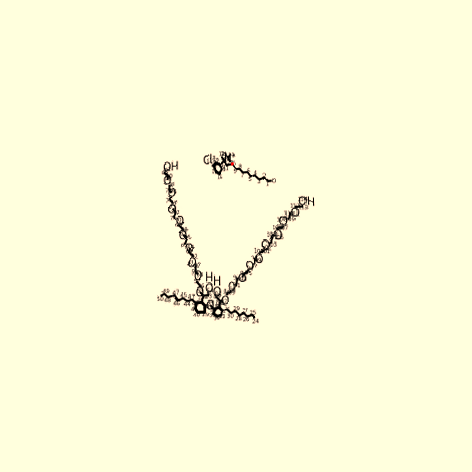 CCCCCCCCCCCCC(C)(c1ccccc1)[N+](C)(C)C.CCCCCCCCc1cccc(Oc2cccc(CCCCCCCC)c2C(CO)OCCOCCOCCOCCOCCOCCOCCOCCOCCO)c1C(CO)OCCOCCOCCOCCOCCOCCOCCOCCOCCO.[Cl-]